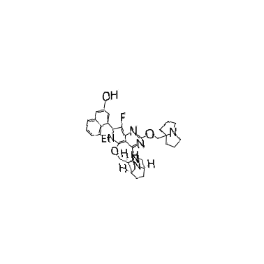 CCc1cccc2cc(O)cc(-c3nc4c5c(nc(OCC67CCCN6CCC7)nc5c3F)N3C[C@H]5CC[C@H](N5)[C@H]3CO4)c12